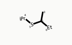 CC[C](C)SC(C)C